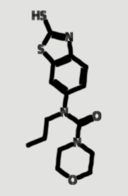 CCCN(C(=O)N1CCOCC1)c1ccc2nc(S)sc2c1